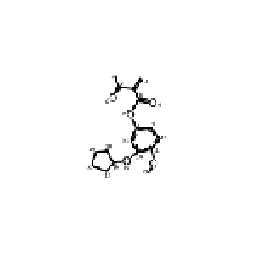 C=C(C(C)=O)C(=O)Oc1ccc(OC)c(OC2CCCC2)c1